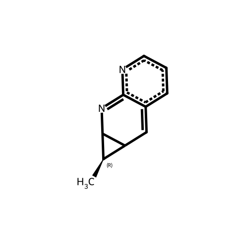 C[C@@H]1C2C=c3cccnc3=NC21